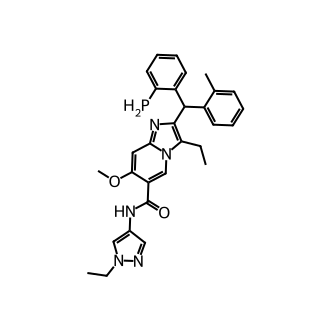 CCc1c(C(c2ccccc2C)c2ccccc2P)nc2cc(OC)c(C(=O)Nc3cnn(CC)c3)cn12